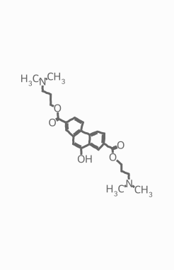 CN(C)CCCOC(=O)c1ccc2c(c1)cc(O)c1cc(C(=O)OCCCN(C)C)ccc12